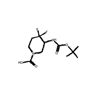 CC(C)(C)OC(=O)NC1CN(C(=O)O)CCC1(F)F